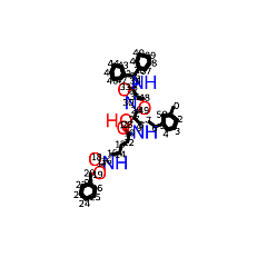 Cc1cccc(CC[C@H](NC(=O)CCCCNC(=O)OCc2ccccc2)C(O)c2nc(C(=O)NC(c3ccccc3)c3ccccc3)co2)c1